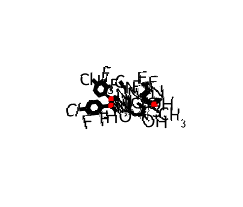 CSc1cnc(C(F)(F)F)c(-n2nc(C)nc2C2(n3cc(-c4ccc(Cl)c(F)c4F)cn3)O[C@@H](CO)[C@@H](O)C[C@@]2(O)n2cc(-c3ccc(Cl)c(F)c3F)cn2)c1